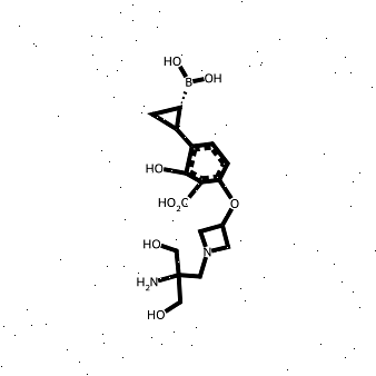 NC(CO)(CO)CN1CC(Oc2ccc(C3C[C@@H]3B(O)O)c(O)c2C(=O)O)C1